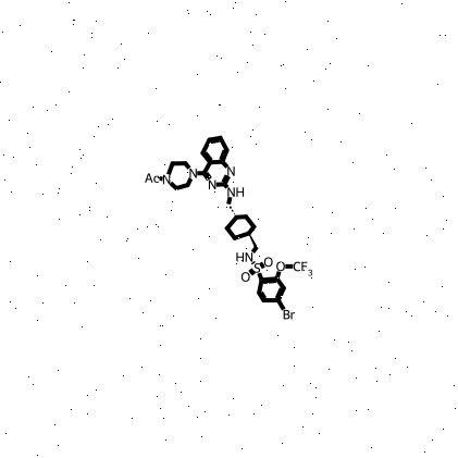 CC(=O)N1CCN(c2nc(NC[C@H]3CC[C@H](CNS(=O)(=O)c4ccc(Br)cc4OC(F)(F)F)CC3)nc3ccccc23)CC1